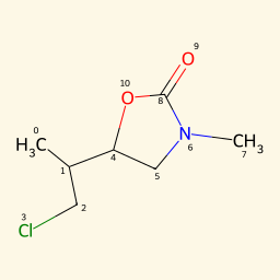 CC(CCl)C1CN(C)C(=O)O1